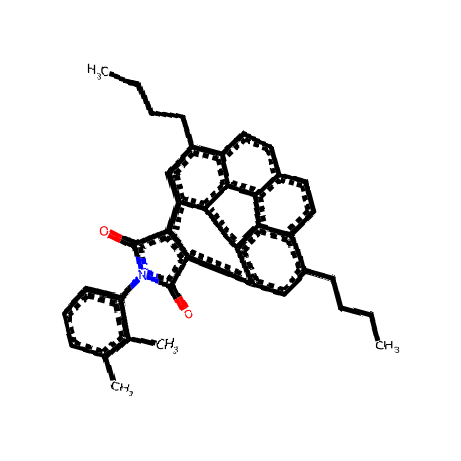 CCCCc1cc2c3c(=O)n(-c4cccc(C)c4C)c(=O)c3c3cc(CCCC)c4ccc5ccc1c1c5c4c3c21